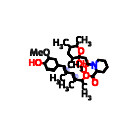 COC1CC(/C=C(C)/C=C(\C)C(C)OC(=O)C2CCCCN2C(=O)CC2(O)OC(C)C(C)CC2C)C=CC1O